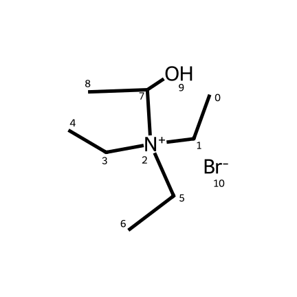 CC[N+](CC)(CC)C(C)O.[Br-]